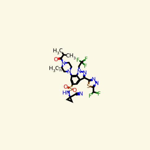 CC(C)C(=O)N1CCN(c2cc(S(=O)(=O)NC3(C#N)CC3)cc3c(-c4nnc(C(F)F)s4)nn(CC(F)(F)F)c23)C[C@@H]1C